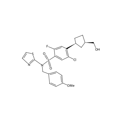 COc1ccc(CN(c2nccs2)S(=O)(=O)c2cc(Cl)c([C@H]3CC[C@@H](CO)C3)cc2F)cc1